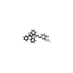 C[C@@H]1CN(CCNc2ncnc3oc(-c4ccccc4)c(-c4ccccc4)c23)CCN1